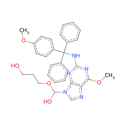 COc1ccc(C(Nc2nc(OC)c3ncn(C(O)OCCCO)c3n2)(c2ccccc2)c2ccccc2)cc1